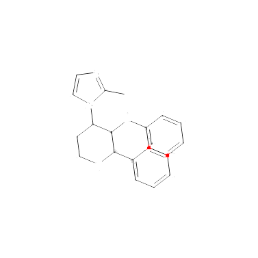 Cc1nccn1C1CCOC(c2ccccc2)C1Sc1ccccc1